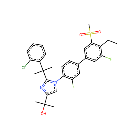 CCc1c(F)cc(-c2ccc(-n3cc(C(C)(C)O)nc3C(C)(C)c3ccccc3Cl)c(F)c2)cc1S(C)(=O)=O